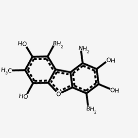 Bc1c(O)c(O)c(N)c2c1oc1c(O)c(C)c(O)c(B)c12